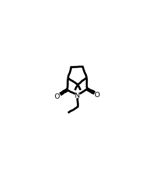 CCN1C(=O)C2CCC(C1=O)C2(C)C